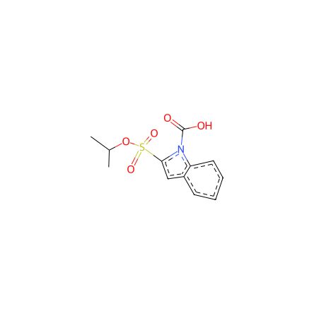 CC(C)OS(=O)(=O)c1cc2ccccc2n1C(=O)O